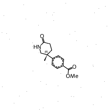 COC(=O)c1ccc([C@@]2(C)CCC(=O)NC2)cc1